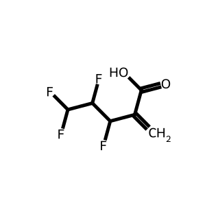 C=C(C(=O)O)C(F)C(F)C(F)F